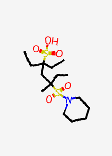 CCC(CC)(CC(C)(CC)S(=O)(=O)N1CCCCC1)S(=O)(=O)O